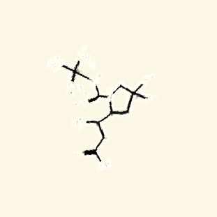 CC(CC(=O)O)C1CC(F)(F)CN1C(=O)OC(C)(C)C